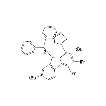 CC(C)c1c2c(c(C3=CC=CC3)c(C(C)(C)C)c1C(C)C)[CH]([Zr]=[C](c1ccccc1)c1ccccc1)c1cc(C(C)(C)C)ccc1-2